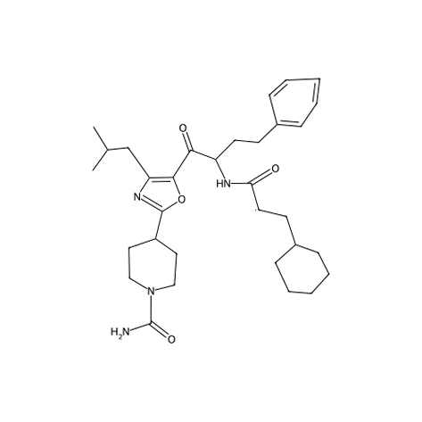 CC(C)Cc1nc(C2CCN(C(N)=O)CC2)oc1C(=O)C(CCc1ccccc1)NC(=O)[CH]CC1CCCCC1